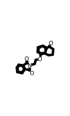 O=C1CCCc2c(OCCN3C(=O)c4ccccc4C3=O)cccc21